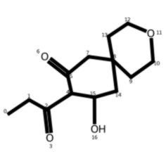 CCC(=O)C1C(=O)CC2(CCOCC2)CC1O